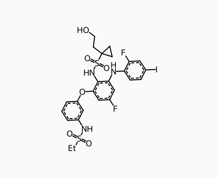 CCS(=O)(=O)Nc1cccc(Oc2cc(F)cc(Nc3ccc(I)cc3F)c2NS(=O)(=O)C2(CCO)CC2)c1